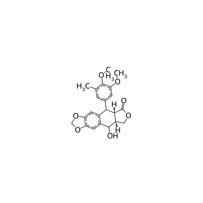 COc1cc(C2c3cc4c(cc3C(O)[C@H]3COC(=O)[C@@H]23)OCO4)cc(C)c1OC